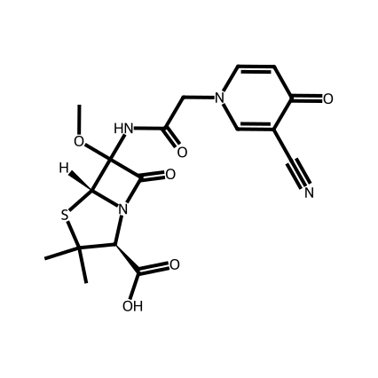 COC1(NC(=O)Cn2ccc(=O)c(C#N)c2)C(=O)N2[C@@H](C(=O)O)C(C)(C)S[C@@H]21